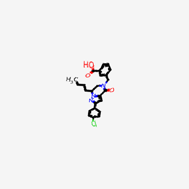 CCCCC1CN(Cc2cccc(C(=O)O)c2)C(=O)c2cc(-c3ccc(Cl)cc3)nn21